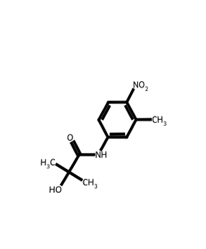 Cc1cc(NC(=O)C(C)(C)O)ccc1[N+](=O)[O-]